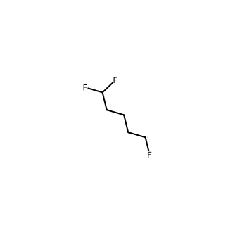 F[CH]CCCC(F)F